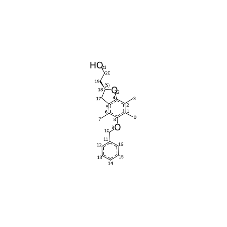 Cc1c(C)c2c(c(C)c1OCc1ccccc1)C[C@@H](CCO)O2